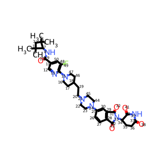 CC1(C)CC(C)(C)C1NC(=O)c1cnc(N2CCC(CCN3CCN(c4ccc5c(c4)C(=O)N(C4CCC(=O)NC4=O)C5=O)CC3)CC2)c(F)c1